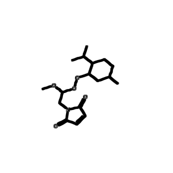 COC(CN1C(=O)C=CC1=O)OOC1CC(C)CCC1C(C)C